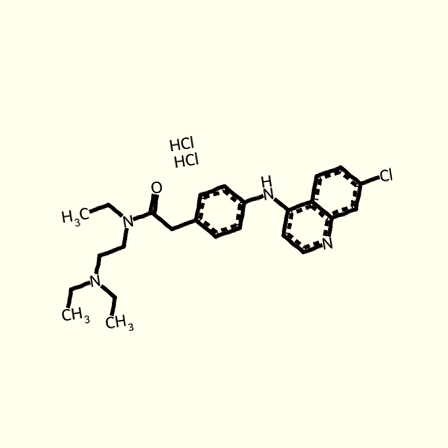 CCN(CC)CCN(CC)C(=O)Cc1ccc(Nc2ccnc3cc(Cl)ccc23)cc1.Cl.Cl